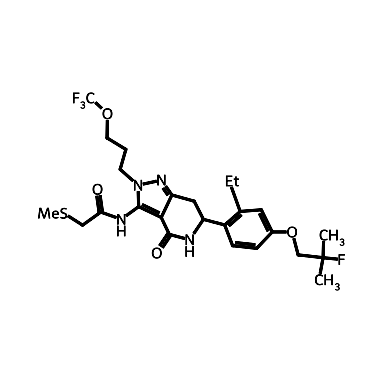 CCc1cc(OCC(C)(C)F)ccc1C1Cc2nn(CCCOC(F)(F)F)c(NC(=O)CSC)c2C(=O)N1